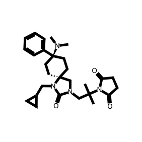 CN(C)[C@]1(c2ccccc2)CC[C@]2(CC1)CN(CC(C)(C)N1C(=O)CCC1=O)C(=O)N2CC1CC1